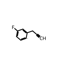 C#CCc1[c]ccc(F)c1